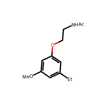 CCc1cc(OC)cc(OCCNC(C)=O)c1